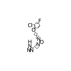 O=C(N1CCC(c2nnc[nH]2)C1)N1CC2(CC(Oc3ccc(F)cc3Cl)C2)C1